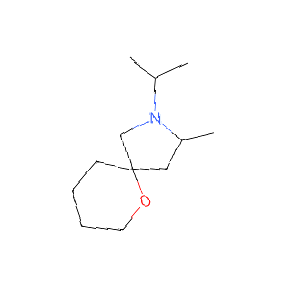 CC(C)N1CC2(CCCCO2)CC1C